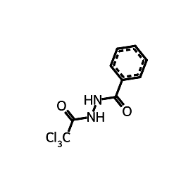 O=C(NNC(=O)C(Cl)(Cl)Cl)c1ccccc1